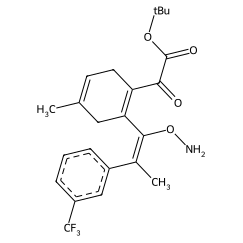 CC1=CCC(C(=O)C(=O)OC(C)(C)C)=C(C(ON)=C(C)c2cccc(C(F)(F)F)c2)C1